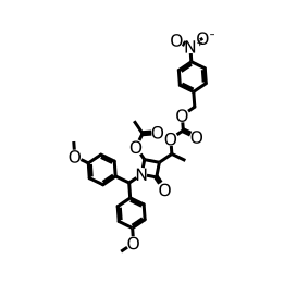 COc1ccc(C(c2ccc(OC)cc2)N2C(=O)C(C(C)OC(=O)OCc3ccc([N+](=O)[O-])cc3)C2OC(C)=O)cc1